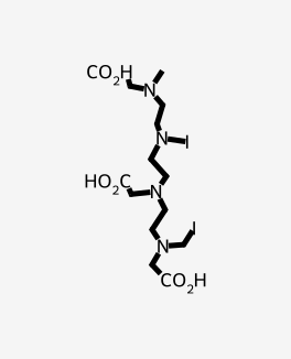 CN(CCN(I)CCN(CCN(CI)CC(=O)O)CC(=O)O)CC(=O)O